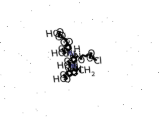 C=Nc1ccc2cc(S(=O)(=O)O)cc(O)c2c1/N=N/c1cc(NC(=O)CCCS(=O)(=O)CCCl)c(/N=N/c2ccc(S(=O)(=O)CCOS(=O)(=O)O)cc2S(=O)(=O)O)cc1S(=O)(=O)O